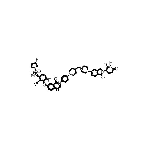 N#Cc1c(NS(=O)(=O)N2CC[C@@H](F)C2)ccc(F)c1Oc1ccc2ncn(-c3ccc(N4CCC(CN5CCN(c6ccc7c(c6)CN(C6CCC(=O)NC6=O)C7=O)CC5)CC4)cc3)c(=O)c2c1